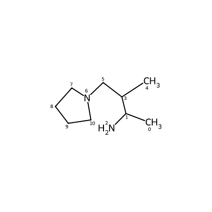 CC(N)C(C)CN1CCCC1